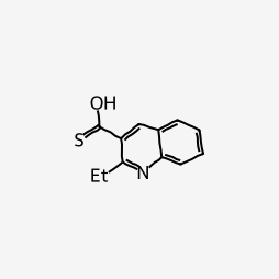 CCc1nc2ccccc2cc1C(O)=S